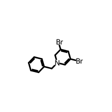 BrC1=CN(Cc2ccccc2)CC(Br)=C1